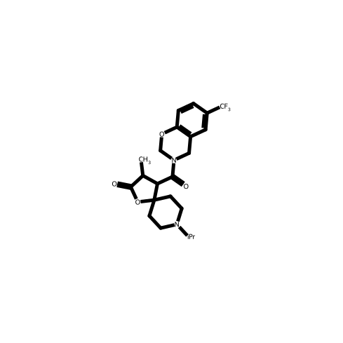 CC1C(=O)OC2(CCN(C(C)C)CC2)C1C(=O)N1COc2ccc(C(F)(F)F)cc2C1